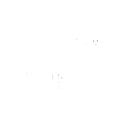 COC(=O)c1ccc(CNC(=O)[C@H](C)CCC(C)C)cc1